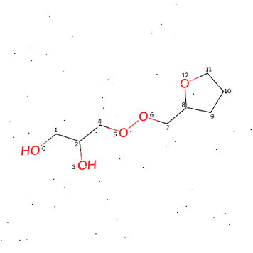 OCC(O)COOCC1CCCO1